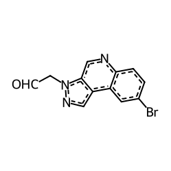 O=CCn1ncc2c3cc(Br)ccc3ncc21